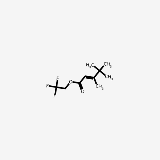 C/C(=C\C(=O)OCC(F)(F)F)C(C)(C)C